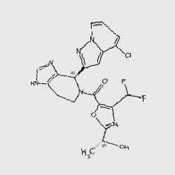 C[C@@H](O)c1nc(C(F)F)c(C(=O)N2CCc3[nH]cnc3[C@H]2c2cc3c(Cl)cccn3n2)o1